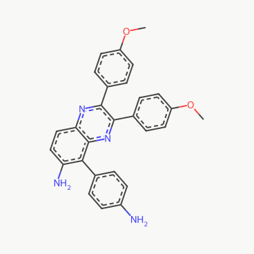 COc1ccc(-c2nc3ccc(N)c(-c4ccc(N)cc4)c3nc2-c2ccc(OC)cc2)cc1